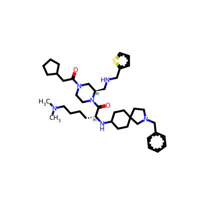 CN(C)CCCC[C@@H](NC1CCC2(CC1)CCN(Cc1ccccc1)C2)C(=O)N1CCN(C(=O)CC2CCCC2)C[C@H]1CNCc1cccs1